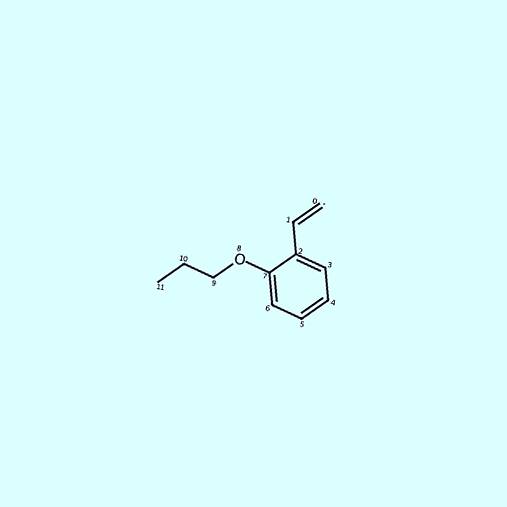 [CH]=Cc1ccccc1OCCC